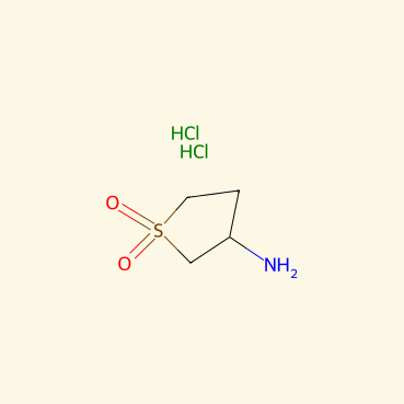 Cl.Cl.NC1CCS(=O)(=O)C1